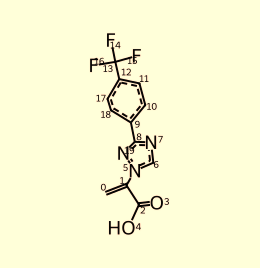 C=C(C(=O)O)n1cnc(-c2ccc(C(F)(F)F)cc2)n1